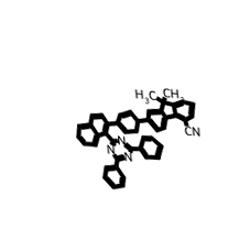 CC1(C)c2cc(C3C=CC(c4ccc5ccccc5c4-c4nc(-c5ccccc5)nc(-c5ccccc5)n4)=CC3)ccc2-c2c(C#N)cccc21